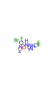 Cc1cc(NC(=O)c2cc(F)c(Br)cc2N2CCC3(CC2)CC3)nc(N2CCC(F)(F)CC2)n1